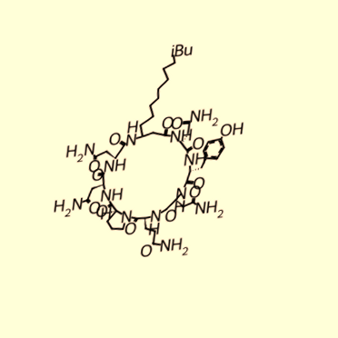 CCC(C)CCCCCCCCC1CC(=O)N[C@H](CC(N)=O)C(=O)N[C@H](Cc2ccc(O)cc2)C(=O)N[C@@H](CC(N)=O)C(=O)N[C@@H](CCC(N)=O)C(=O)N2CCC[C@H]2C(=O)N[C@@H](CC(N)=O)C(=O)N[C@@H](CC(N)=O)C(=O)N1